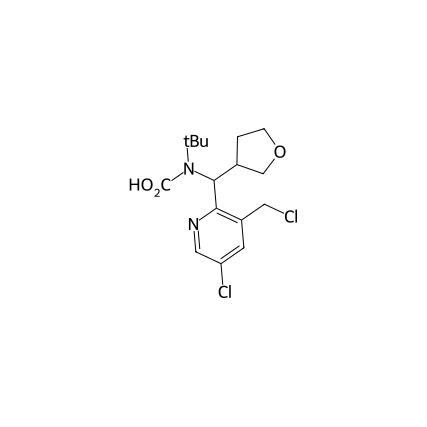 CC(C)(C)N(C(=O)O)C(c1ncc(Cl)cc1CCl)C1CCOC1